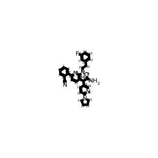 N#Cc1ccccc1-c1ccc(C(C(N)=O)c2ccc(N3CCCC3)nc2)c(NCCc2cccc(F)c2)n1